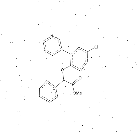 COC(=O)C(Oc1ccc(Cl)cc1-c1cncnc1)c1ccccc1